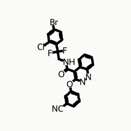 N#Cc1cccc(Oc2nnc3ccccc3c2C(=O)NCC(F)(F)c2ccc(Br)cc2Cl)c1